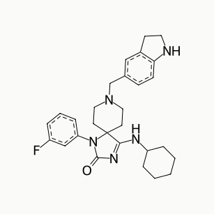 O=C1N=C(NC2CCCCC2)C2(CCN(Cc3ccc4c(c3)CCN4)CC2)N1c1cccc(F)c1